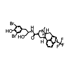 CN1C[C@H](C(=O)NC(CO)Cc2cc(Br)c(O)c(Br)c2)C[C@@H]2c3cccc4c3c(cn4C(F)(F)F)C[C@H]21